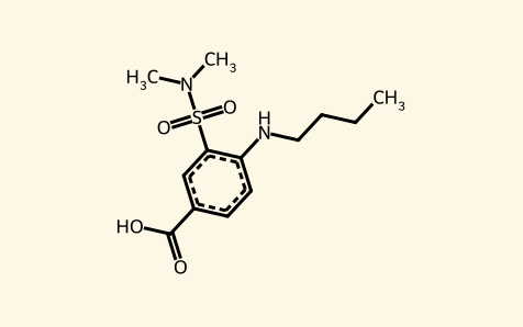 CCCCNc1ccc(C(=O)O)cc1S(=O)(=O)N(C)C